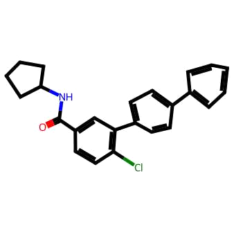 O=C(NC1CCCC1)c1ccc(Cl)c(-c2ccc(-c3ccccc3)cc2)c1